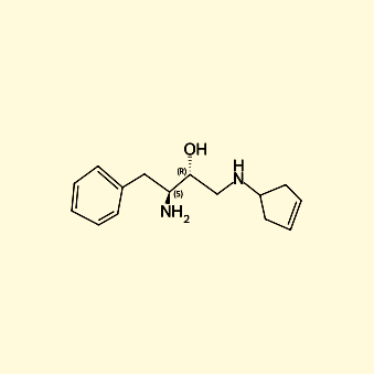 N[C@@H](Cc1ccccc1)[C@H](O)CNC1CC=CC1